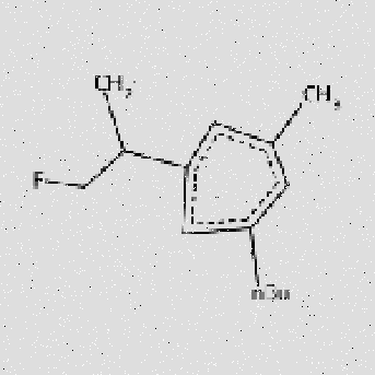 [CH2]C(CF)c1cc(C)cc(CCCC)c1